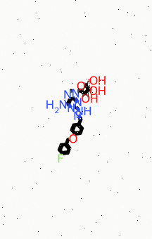 Nc1nc(NN=Cc2ccc(OCc3ccc(F)cc3)cc2)nc2c1ncn2[C@@H]1O[C@H](CO)[C@@H](O)[C@H]1O